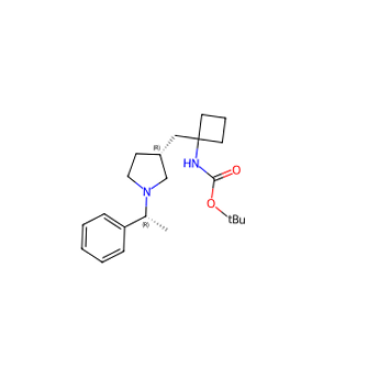 C[C@H](c1ccccc1)N1CC[C@H](CC2(NC(=O)OC(C)(C)C)CCC2)C1